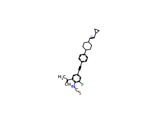 C=C(C)c1cc(C#Cc2ccc(C3CCC(/C=C/C4CC4)CC3)cc2)cc(F)c1N=C=S